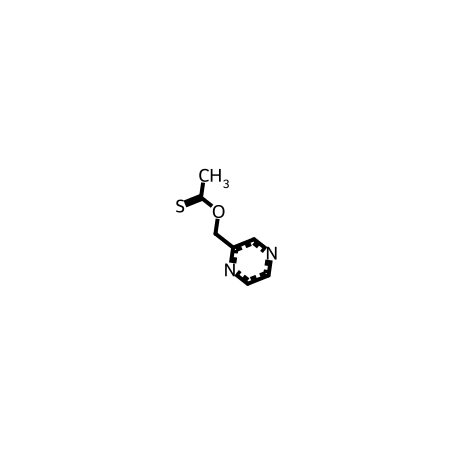 CC(=S)OCc1cnccn1